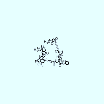 CC[C@@]1(O)C(=O)OCc2c1cc1n(c2=O)Cc2c-1nc1cc(F)c(C)c3c1c2[C@@H](OCCOCNC(=O)CNC(=O)[C@H](Cc1ccccc1)NC(=O)CNC(=O)CNC(=O)CCCCCN1C(=O)C=C(SC)C1=O)CC3